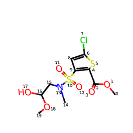 COC(=O)c1sc(Cl)cc1S(=O)(=O)N(C)CC(O)OC